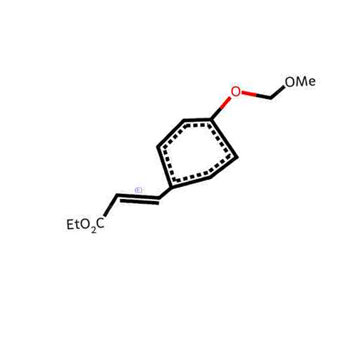 CCOC(=O)/C=C/c1ccc(OCOC)cc1